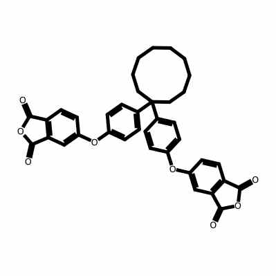 O=C1OC(=O)c2cc(Oc3ccc(C4(c5ccc(Oc6ccc7c(c6)C(=O)OC7=O)cc5)CCCCCCCCC4)cc3)ccc21